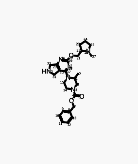 CC1CN(C(=O)OCc2ccccc2)CCN1c1nc(OCC2CCCN2C)nc2c1CNC2